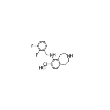 Cl.Fc1cccc(CNc2c(Cl)ccc3c2CCNCC3)c1F